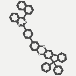 c1ccc(C2(c3ccccc3)c3ccccc3-c3cc4c(cc32)Oc2ccc(-c3ccc(-c5nc(-c6cccc7ccccc67)c6ccccc6n5)cc3)cc2O4)cc1